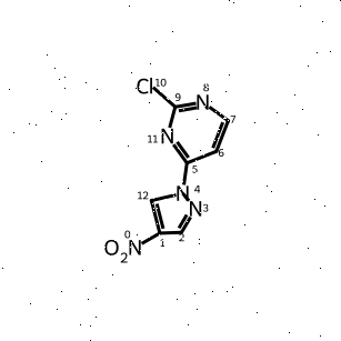 O=[N+]([O-])c1cnn(-c2ccnc(Cl)n2)c1